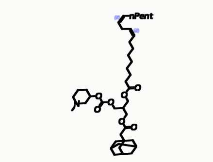 CCCCC/C=C\C/C=C\CCCCCCCC(=O)OCC(COC(=O)CC12CC3CC(CC(C3)C1)C2)COC(=O)OC1CCCN(C)C1